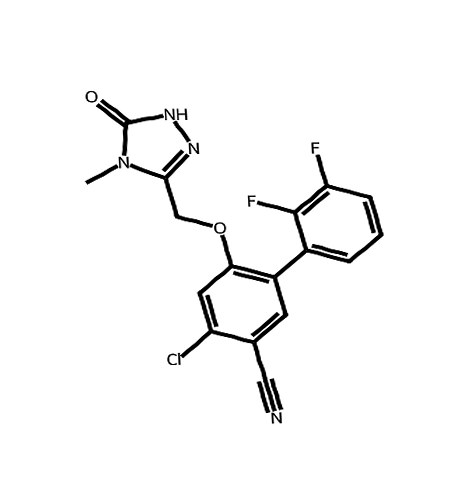 Cn1c(COc2cc(Cl)c(C#N)cc2-c2cccc(F)c2F)n[nH]c1=O